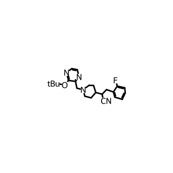 CC(C)(C)Oc1nccnc1CN1CCC(C(C#N)Cc2ccccc2F)CC1